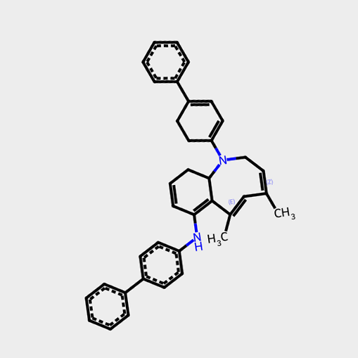 CC1=C/CN(C2=CC=C(c3ccccc3)CC2)C2CC=CC(Nc3ccc(-c4ccccc4)cc3)=C2\C(C)=C\1